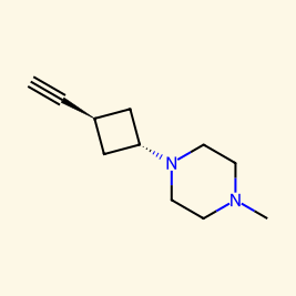 C#C[C@H]1C[C@H](N2CCN(C)CC2)C1